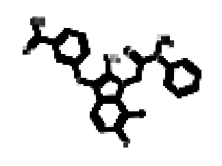 Cc1c(Sc2cccc(C(=O)O)c2)c2ccc(Cl)c(F)c2n1CC(=O)N(C)c1ccccc1